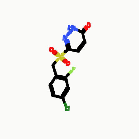 O=c1ccc(S(=O)(=O)Cc2ccc(Cl)cc2F)n[nH]1